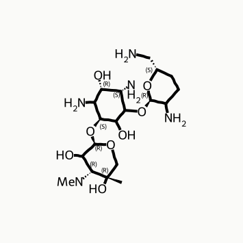 CN[C@@H]1C(O)[C@@H](O[C@@H]2C(O)C(O[C@H]3O[C@H](CN)CCC3N)[C@@H](N)[C@@H](O)C2N)OC[C@]1(C)O